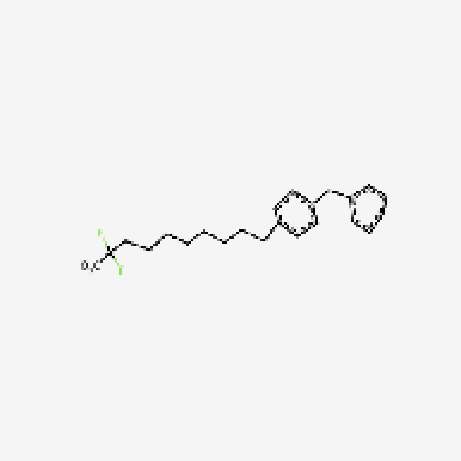 O=C(O)C(F)(F)CCCCCCCCc1ccc(Cc2ccccc2)cc1